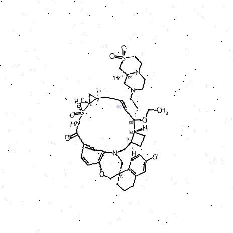 CCO[C@]1(CCN2CCN3CCS(=O)(=O)C[C@@H]3C2)/C=C/C[C@@H]2C[C@@]2(C)S(=O)(=O)NC(=O)c2ccc3c(c2)N(C[C@@H]2CC[C@H]21)C[C@@]1(CCCc2cc(Cl)ccc21)CO3